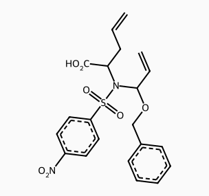 C=CCC(C(=O)O)N(C(C=C)OCc1ccccc1)S(=O)(=O)c1ccc([N+](=O)[O-])cc1